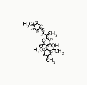 C=Cc1cc(C)cc(C)c1C1=C(O)CC(C(C)CSc2ccc(C)cc2)OC1=O